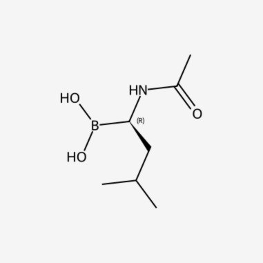 CC(=O)N[C@@H](CC(C)C)B(O)O